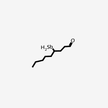 CCCCC[CH]([SbH2])CCC=O